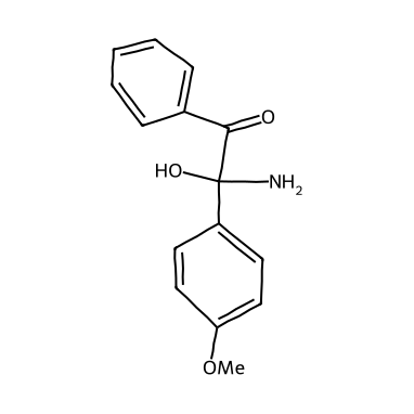 COc1ccc(C(N)(O)C(=O)c2ccccc2)cc1